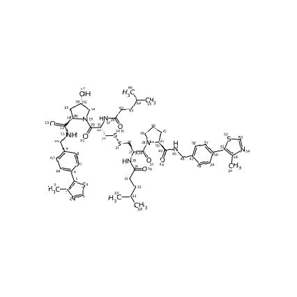 Cc1ncsc1-c1ccc(CNC(=O)[C@H]2C[C@H](O)CN2C(=O)[C@@H](CSSC[C@H](NC(=O)CCC(C)C)C(=O)N2CCC[C@H]2C(=O)NCc2ccc(-c3scnc3C)cc2)NC(=O)CCC(C)C)cc1